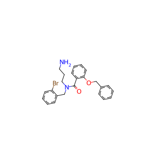 NCCCN(Cc1ccccc1Br)C(=O)c1ccccc1OCc1ccccc1